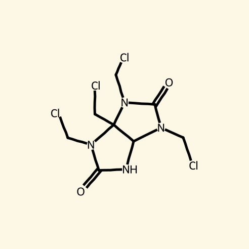 O=C1NC2N(CCl)C(=O)N(CCl)C2(CCl)N1CCl